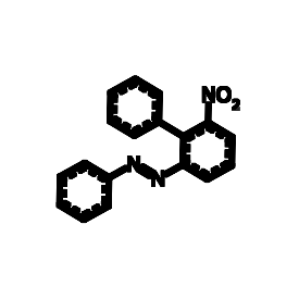 O=[N+]([O-])c1cccc(N=Nc2ccccc2)c1-c1ccccc1